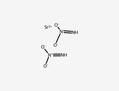 N=[N+]([O-])[O-].N=[N+]([O-])[O-].[Sr+2]